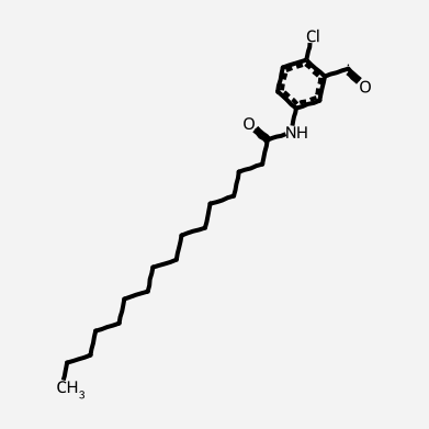 CCCCCCCCCCCCCCCC(=O)Nc1ccc(Cl)c([C]=O)c1